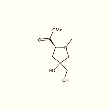 COC(=O)[C@@H]1CC(O)(CO)CN1C